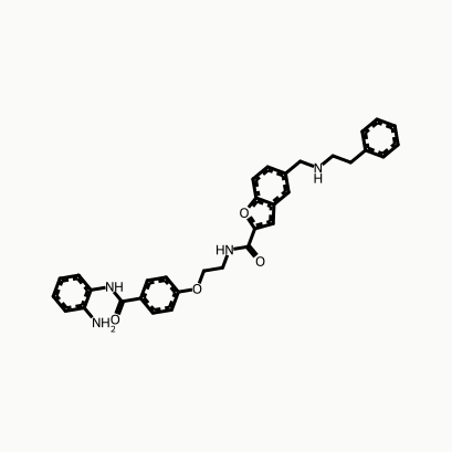 Nc1ccccc1NC(=O)c1ccc(OCCNC(=O)c2cc3cc(CNCCc4ccccc4)ccc3o2)cc1